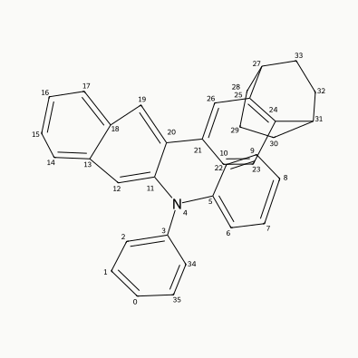 c1ccc(N(c2ccccc2)c2cc3ccccc3cc2-c2ccc3c(c2)C2CCCC3CC2)cc1